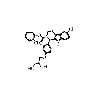 O=C(Oc1ccccc1Cl)N1CCc2c([nH]c3ccc(Cl)cc23)C1c1ccc(OCC(O)CO)cc1